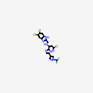 FC(F)n1cc(-c2cnc3c(NCc4nc5cc(Cl)c(Cl)cc5[nH]4)cc(Cl)nn23)cn1